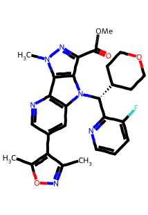 COC(=O)c1nn(C)c2c3ncc(-c4c(C)noc4C)cc3n([C@@H](c3ncccc3F)C3CCOCC3)c12